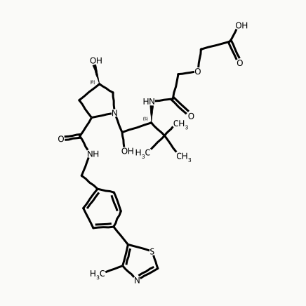 Cc1ncsc1-c1ccc(CNC(=O)C2C[C@@H](O)CN2C(O)[C@@H](NC(=O)COCC(=O)O)C(C)(C)C)cc1